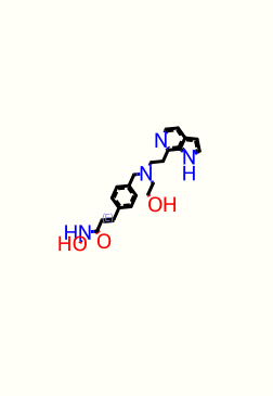 O=C(/C=C/c1ccc(CN(CCO)CCc2nccc3cc[nH]c23)cc1)NO